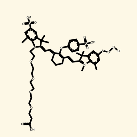 Cc1cc(S(=O)(=O)O)cc2c1N(CCOCCOCCOCCOCCC(=O)O)/C(=C/C=C1\CCCC(/C=C/C3=[N+](C)c4c(C)cc(SOO[O-])cc4C3(C)C)=C1Oc1ccc(S(=O)(=O)O)cc1)C2(C)C